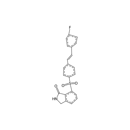 O=C1NCc2cccc(S(=O)(=O)c3ccc(C=Cc4ccc(F)cc4)cc3)c21